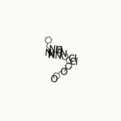 O=C(Nc1cc(-c2cc(OCC3CCOCC3)ccc2Cl)c(Cl)cn1)c1nnc(CC2CCCCC2)[nH]1